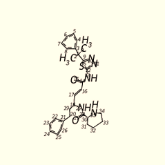 CC(C)(c1ccccc1)c1nnc(NC(=O)C=C[C@H](CCc2ccccc2)NC(=O)[C@@H]2CCCCN2)s1